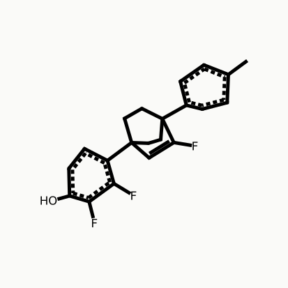 Cc1ccc(C23CCC(c4ccc(O)c(F)c4F)(C=C2F)CC3)cc1